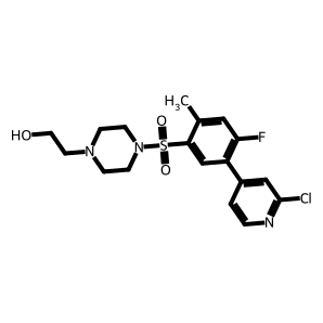 Cc1cc(F)c(-c2ccnc(Cl)c2)cc1S(=O)(=O)N1CCN(CCO)CC1